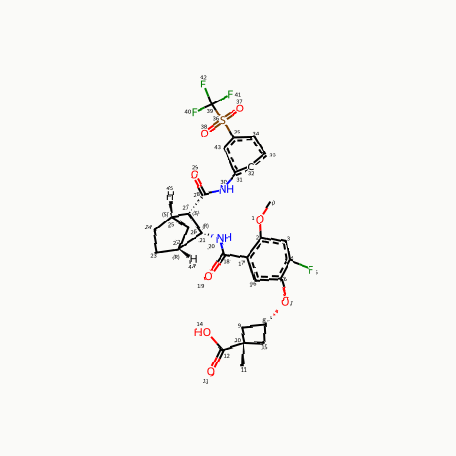 COc1cc(F)c(O[C@H]2C[C@@](C)(C(=O)O)C2)cc1C(=O)N[C@@H]1[C@@H]2CC[C@@H](C2)[C@@H]1C(=O)Nc1cccc(S(=O)(=O)C(F)(F)F)c1